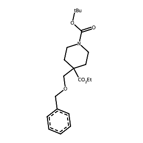 CCOC(=O)C1(COCc2ccccc2)CCN(C(=O)OC(C)(C)C)CC1